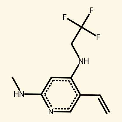 C=Cc1cnc(NC)cc1NCC(F)(F)F